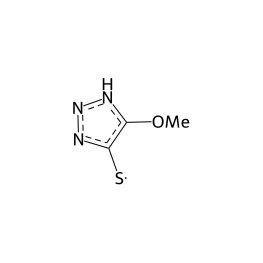 COc1[nH]nnc1[S]